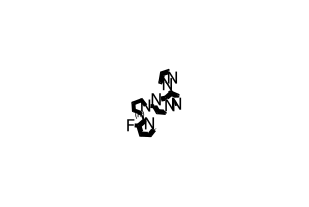 Fc1cccnc1[C@H]1CCCN1c1ccn2ncc(-n3cccn3)c2n1